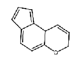 C1=CC2=CC=C3OCC=CC3C2=C1